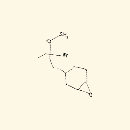 CC(C)C(C)(CC1CCC2OC2C1)O[SiH3]